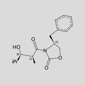 CC(C)[C@@H](O)[C@H](C)C(=O)N1C(=O)OC[C@@H]1Cc1ccccc1